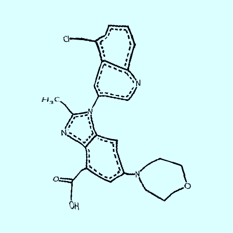 Cc1nc2c(C(=O)O)cc(N3CCOCC3)cc2n1-c1cnc2cccc(Cl)c2c1